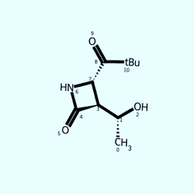 C[C@@H](O)[C@H]1C(=O)N[C@@H]1C(=O)C(C)(C)C